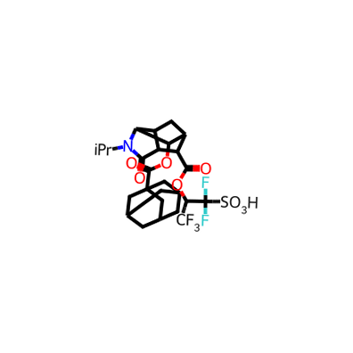 CC(C)N1C(=O)C2C3CC(C(OC(=O)C45CC6CC(CC(C6)C4)C5)C31)C2C(=O)OC(C(F)(F)F)C(F)(F)S(=O)(=O)O